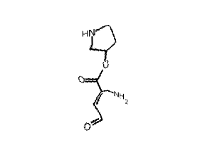 NC(=CC=O)C(=O)OC1CCNC1